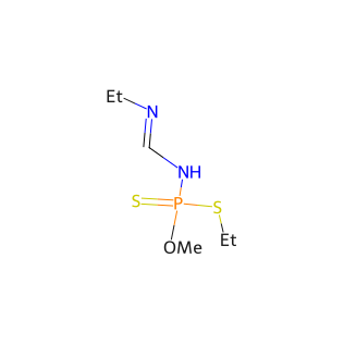 CC/N=C/NP(=S)(OC)SCC